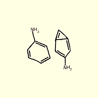 Nc1cc2cc-2c1.Nc1ccccc1